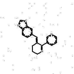 C(=C1CCCN=C1c1cccnc1)c1ccc2ncsc2c1